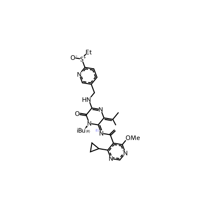 C=C(/N=C1\C(=C(C)C)N=C(NCc2ccc([S+]([O-])CC)nc2)C(=O)N1[C@H](C)CC)c1c(OC)ncnc1C1CC1